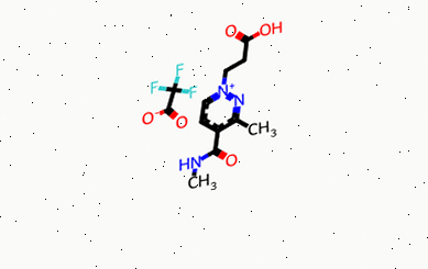 CNC(=O)c1cc[n+](CCC(=O)O)nc1C.O=C([O-])C(F)(F)F